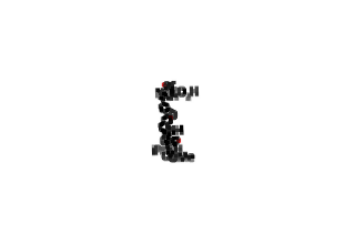 COC(=O)N[C@H](C(=O)N1C(C)CC[C@H]1c1nc2ccc3cc4c(cc3c2[nH]1)OCc1cc(-c2cnc([C@@H]3CCC(C)N3C(=O)O)[nH]2)ccc1-4)C(C)C